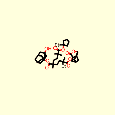 CCC1(OC(=O)C(C)(C)CCC(C)(CCC(C)(CC)C(=O)OC2C3CC4C(=O)OC2C4C3)C(=O)OC23CC4CC(CC(O)(C4)C2)C3)CCCC1